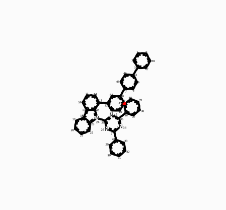 c1ccc(-c2ccc(-c3cccc(-c4cccc5c6ccccc6n(-c6nc(-c7ccccc7)nc(-c7ccccc7)n6)c45)c3)cc2)cc1